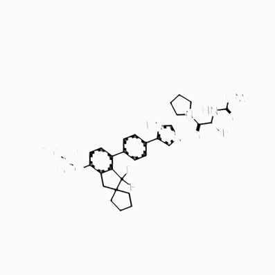 COC(=O)N[C@H](C(=O)N1CCC[C@H]1c1ncc(-c2ccc(-c3ccc(OS(=O)(=O)C(F)(F)F)c4c3C(F)(F)C3(CCCC3)C4)cc2)[nH]1)C(C)C